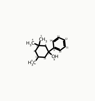 CC1CC(C)(C)CC(O)(c2ccccc2)C1